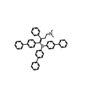 CN(C)CC/C(=C(\B(c1ccc(-c2ccccc2)cc1)c1ccc(-c2ccccc2)cc1)c1ccc(-c2ccccc2)cc1)c1ccccc1